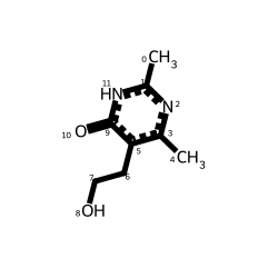 Cc1nc(C)c(CCO)c(=O)[nH]1